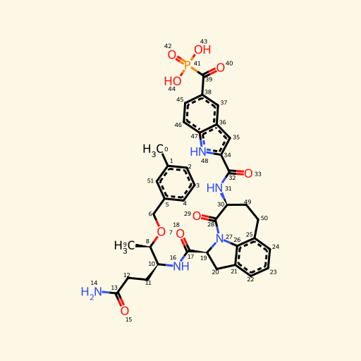 Cc1cccc(CO[C@H](C)[C@H](CCC(N)=O)NC(=O)[C@@H]2Cc3cccc4c3N2C(=O)[C@@H](NC(=O)c2cc3cc(C(=O)P(=O)(O)O)ccc3[nH]2)CC4)c1